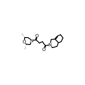 C[C@@H]1CN(C(=O)CCC(=O)N2CCC3CCCC=C3C2)C[C@H](C)O1